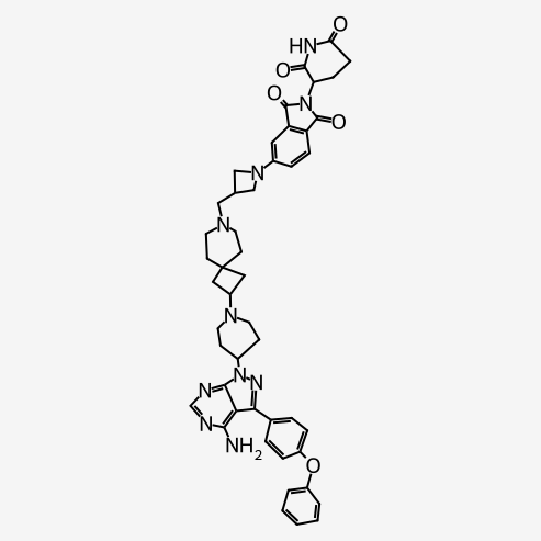 Nc1ncnc2c1c(-c1ccc(Oc3ccccc3)cc1)nn2C1CCN(C2CC3(CCN(CC4CN(c5ccc6c(c5)C(=O)N(C5CCC(=O)NC5=O)C6=O)C4)CC3)C2)CC1